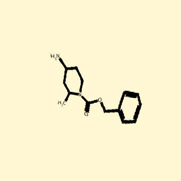 CC1CC(N)CCN1C(=O)OCc1ccccc1